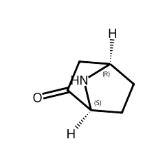 O=C1C[C@H]2CC[C@@H]1N2